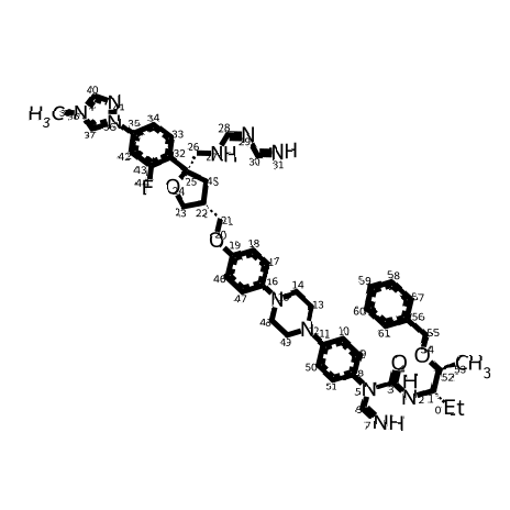 CC[C@H](NC(=O)N(C=N)c1ccc(N2CCN(c3ccc(OC[C@@H]4CO[C@@](CN/C=N\C=N)(c5ccc(-n6c[n+](C)cn6)cc5F)C4)cc3)CC2)cc1)[C@H](C)OCc1ccccc1